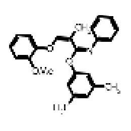 COc1ccccc1OC=C(C)/C(=N\c1ccccc1)Oc1cc(C)cc(C)c1